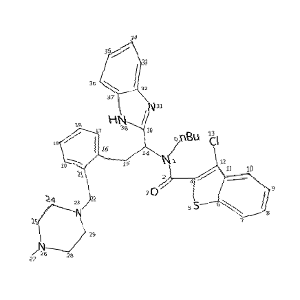 CCCCN(C(=O)c1sc2ccccc2c1Cl)C(Cc1ccccc1CN1CCN(C)CC1)c1nc2ccccc2[nH]1